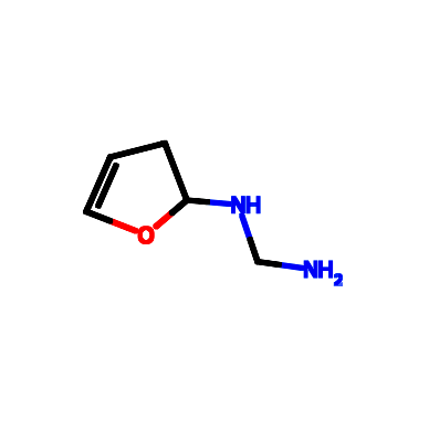 NCNC1CC=CO1